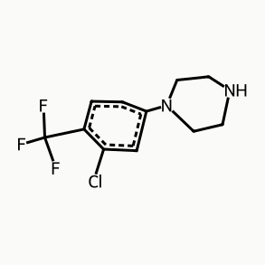 FC(F)(F)c1ccc(N2CCNCC2)cc1Cl